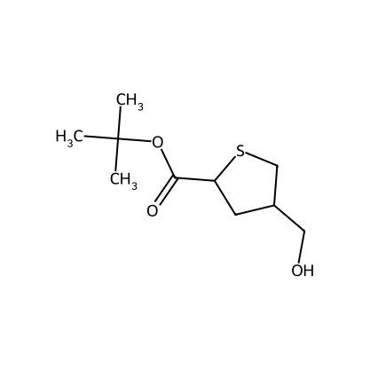 CC(C)(C)OC(=O)C1CC(CO)CS1